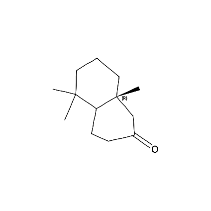 CC1(C)CCC[C@]2(C)CC(=O)CCC12